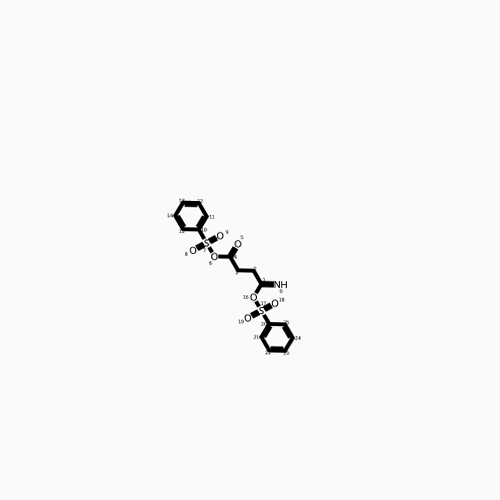 N=C(CCC(=O)OS(=O)(=O)c1ccccc1)OS(=O)(=O)c1ccccc1